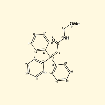 COCNC(=O)C=P(c1ccccc1)(c1ccccc1)c1ccccc1